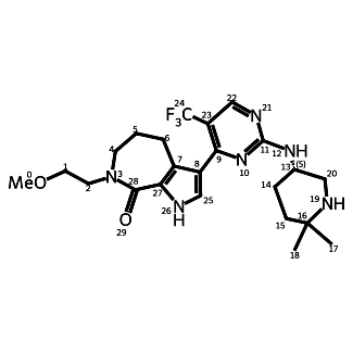 COCCN1CCCc2c(-c3nc(N[C@H]4CCC(C)(C)NC4)ncc3C(F)(F)F)c[nH]c2C1=O